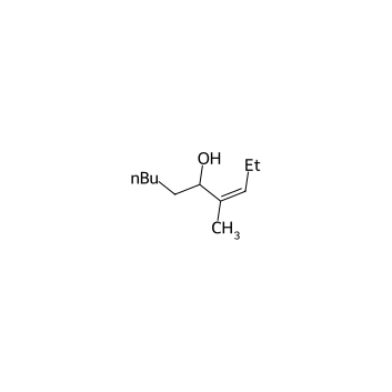 [CH2]CC=C(C)C(O)CCCCC